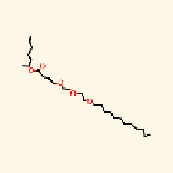 CCCCCCCCCCCCOCCOCCOCCCC(=O)OC(C)CCCCC